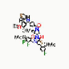 CCOc1cc2c(cc1OC)C(c1ccc(C(=O)N3CCC(n4c(=O)c5sc(-c6ccc(F)cc6OC)cc5n(Cc5ccc(OC)c(F)c5F)c4=O)CC3)cc1)=N[C@@H]1CCSC[C@H]21